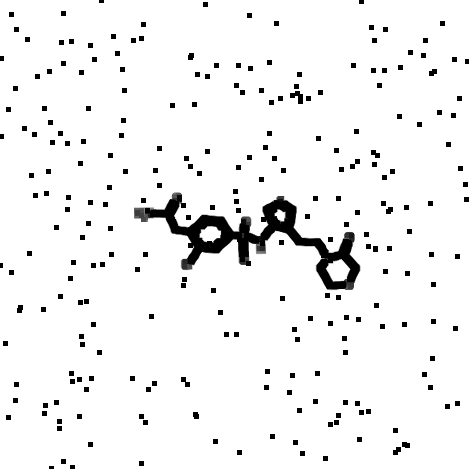 NC(=O)Cc1ccc(S(=O)(=O)Nc2cscc2CCN2CCOCC2=O)cc1Cl